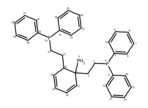 PC1(CCP(c2ccccc2)c2ccccc2)C=CC=CC1CCP(c1ccccc1)c1ccccc1